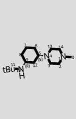 CN1CCN([C@H]2CCC[C@@H](NC(C)(C)C)C2)CC1